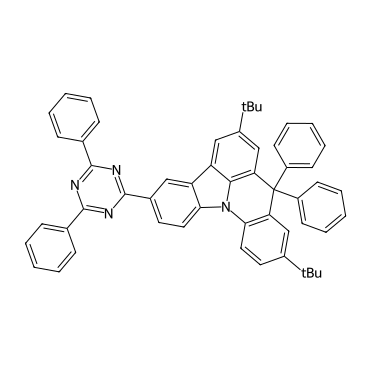 CC(C)(C)c1ccc2c(c1)C(c1ccccc1)(c1ccccc1)c1cc(C(C)(C)C)cc3c4cc(-c5nc(-c6ccccc6)nc(-c6ccccc6)n5)ccc4n-2c13